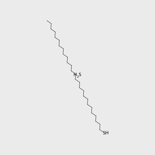 CCCCCCCCCCCCCCCCCCCCCCCCCCCS.S